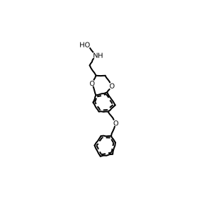 ONCC1COc2cc(Oc3ccccc3)ccc2O1